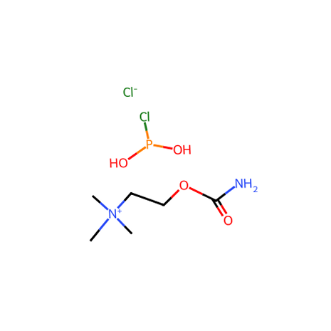 C[N+](C)(C)CCOC(N)=O.OP(O)Cl.[Cl-]